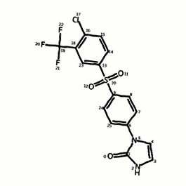 O=c1[nH]ccn1-c1ccc(S(=O)(=O)c2ccc(Cl)c(C(F)(F)F)c2)cc1